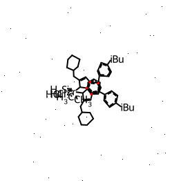 CCC(C)c1ccc(-c2cccc3c2C=C(CC2CCCCC2)[CH]3[Zr]([CH3])([CH3])(=[SiH2])[CH]2C(CC3CCCCC3)=Cc3c(-c4ccc(C(C)CC)cc4)cccc32)cc1.Cl.Cl